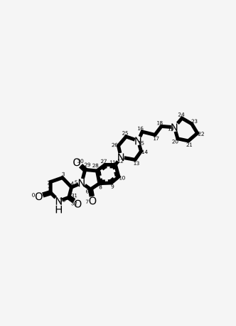 O=C1CCC(N2C(=O)c3ccc(N4CCN(CCCN5CCCCC5)CC4)cc3C2=O)C(=O)N1